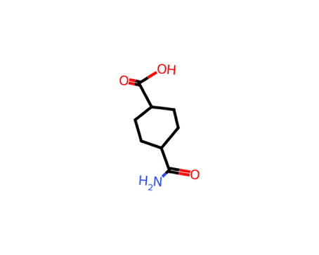 NC(=O)C1CCC(C(=O)O)CC1